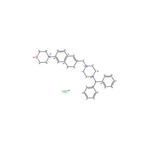 C1=C(CN2CCN(C(c3ccccc3)c3ccccc3)CC2)CCc2cc(N3CCOCC3)ccc21.Cl